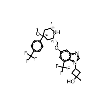 CO[C@]1(c2ccc(C(F)(F)F)cc2)C[C@@H](COc2cc(C(F)(F)F)c3c(c2)ncn3C2CC(C)(O)C2)N[C@@H](C)C1